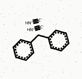 [C-]#[NH+].[C-]#[NH+].c1ccc(Cc2ccccc2)cc1